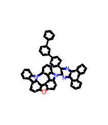 c1ccc(-c2cccc(-c3ccc(-c4nc5c6ccccc6c6ccccc6c5nc4-n4c5ccc6oc7ccc8c9ccccc9n9c%10cccc4c%10c5c6c7c89)cc3)c2)cc1